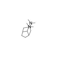 CC(C)C1C2CCC1CN(N(C)C)C2